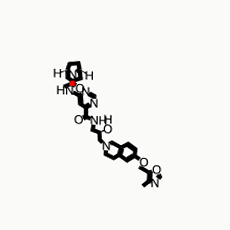 CC(=O)N1[C@@H]2CC[C@H]1CC(Nc1cc(C(=O)NC[C@H](O)CN3CCc4cc(OCc5ocnc5C)ccc4C3)ncn1)C2